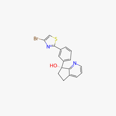 O[C@@]1(c2cccc(-c3nc(Br)cs3)c2)CCc2cccnc21